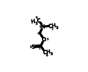 CC(=S)OCN(C)C